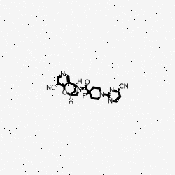 N#Cc1ccnc(N2CCC(F)(C(=O)N3C[C@@H]4C[C@H]3c3cncc(C#N)c3O4)CC2)n1